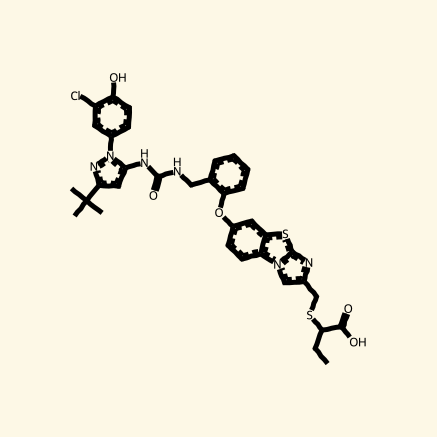 CCC(SCc1cn2c(n1)sc1cc(Oc3ccccc3CNC(=O)Nc3cc(C(C)(C)C)nn3-c3ccc(O)c(Cl)c3)ccc12)C(=O)O